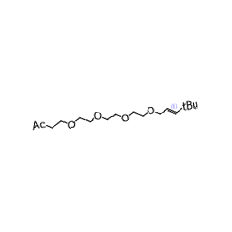 CC(=O)CCOCCOCCOCCOC/C=C/C(C)(C)C